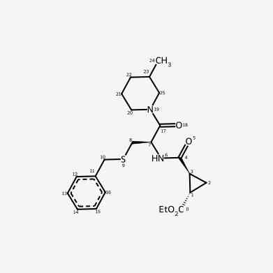 CCOC(=O)[C@H]1C[C@@H]1C(=O)N[C@@H](CSCc1ccccc1)C(=O)N1CCCC(C)C1